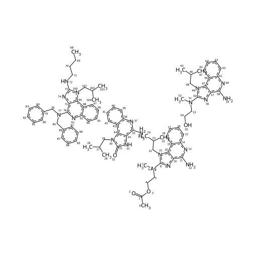 CC(=O)OCC[As](C)c1nc2c(N)nc3ccccc3c2n1CC(C)C.CC(C)Cn1c(=O)[nH]c2c(N)nc3ccccc3c21.CC(C)Cn1c(N(C)CCO)nc2c(N)nc3ccccc3c21.CCCCNc1nc2c(N(Cc3ccccc3)Cc3ccccc3)nc3ccccc3c2n1CC(C)C